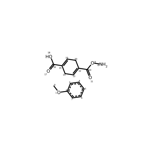 COc1ccccc1.NOC(=O)C1=CCC(C(=O)O)=CC1